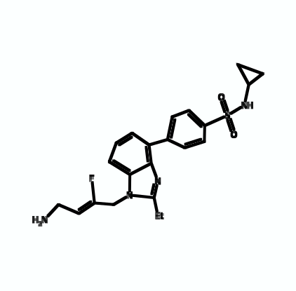 CCc1nc2c(-c3ccc(S(=O)(=O)NC4CC4)cc3)cccc2n1C/C(F)=C/CN